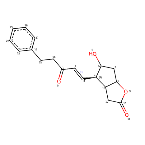 O=C(/C=C/[C@H]1C(O)CC2OC(=O)CC21)CCc1ccccc1